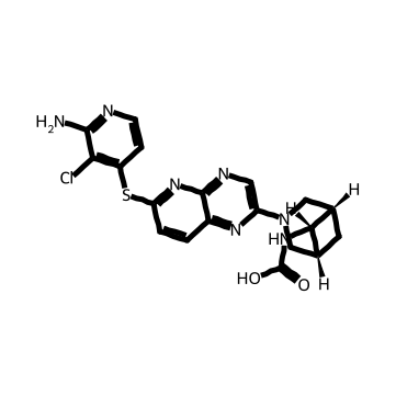 Nc1nccc(Sc2ccc3nc(N4C[C@H]5C[C@@H](C4)[C@H]5NC(=O)O)cnc3n2)c1Cl